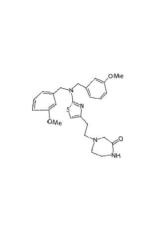 COc1cccc(CN(Cc2cccc(OC)c2)c2nc(CCN3CCNC(=O)C3)cs2)c1